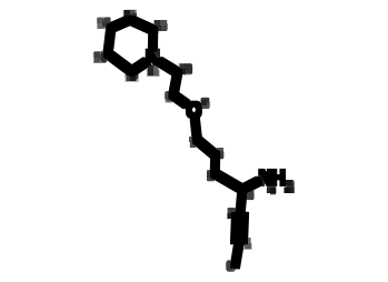 CC#CC(N)CCCOCCN1CCCCC1